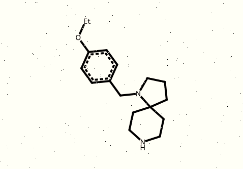 CCOc1ccc(CN2CCCC23CCNCC3)cc1